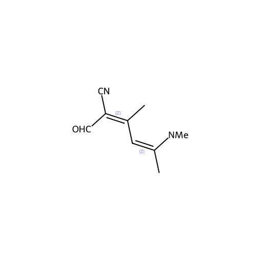 CN/C(C)=C\C(C)=C(\C#N)C=O